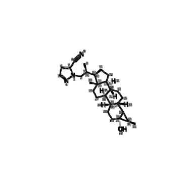 C[C@H](Cn1nccc1C#N)[C@H]1CC[C@H]2[C@@H]3CC[C@@H]4C5[C@@H](C)[C@@]5(O)CC[C@@H]4[C@H]3CC[C@]12C